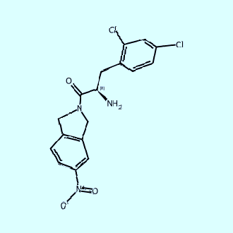 N[C@H](Cc1ccc(Cl)cc1Cl)C(=O)N1Cc2ccc([N+](=O)[O-])cc2C1